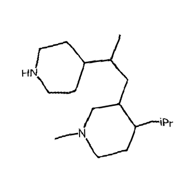 CC(C)C1CCN(C)CC1CC(C)C1CCNCC1